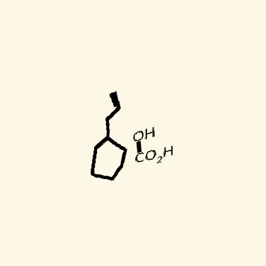 C=CCC1CCCCC1.O=C(O)O